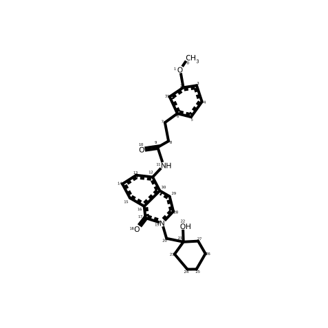 COc1cccc(CCC(=O)Nc2cccc3c(=O)n(CC4(O)CCCCC4)ccc23)c1